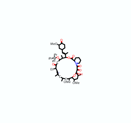 CCC1/C=C(\C)CC(C)CC(OC)C2OC(O)(C(=O)C(=O)N3CCCCC3C(=O)OC(C(C)=CC3CCC(=O)C(OC)C3)C(C)C(O[Si](C(C)C)(C(C)C)C(C)C)CC1=O)C(C)CC2OC